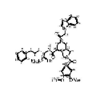 CNC(=O)[C@H](CCCc1ccccc1)NC(=O)C1CN(C(=O)Cn2ccc3ccccc32)CC2CN(C(=O)c3ccc(OC(C)C)c(OC)c3)CC21